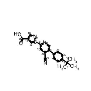 CC(C)(C)c1ccc(-c2cnc(-n3cc(C(=O)O)cn3)cc2C#N)cc1